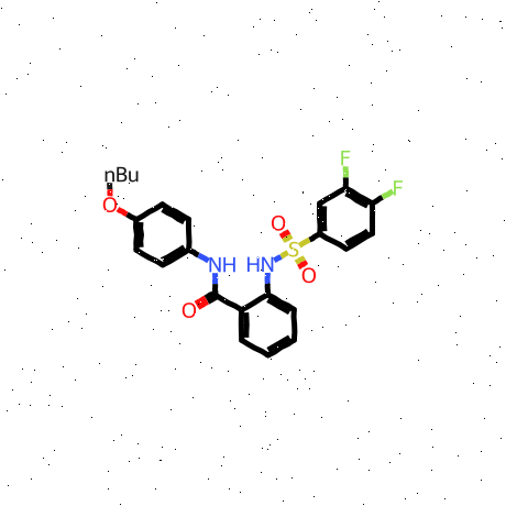 CCCCOc1ccc(NC(=O)c2ccccc2NS(=O)(=O)c2ccc(F)c(F)c2)cc1